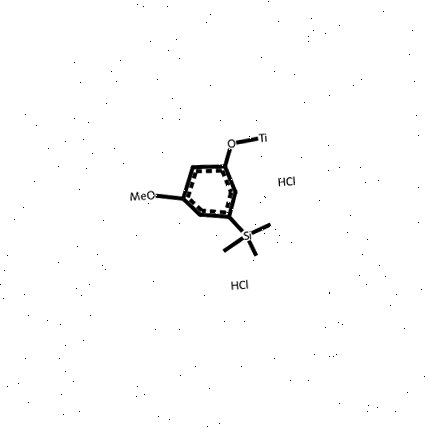 COc1cc([O][Ti])cc([Si](C)(C)C)c1.Cl.Cl